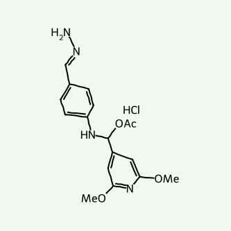 COc1cc(C(Nc2ccc(C=NN)cc2)OC(C)=O)cc(OC)n1.Cl